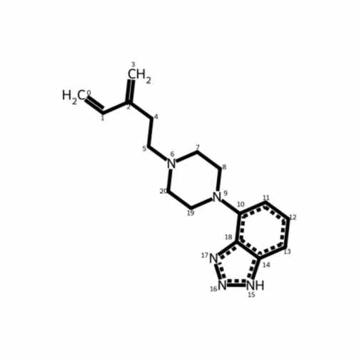 C=CC(=C)CCN1CCN(c2cccc3[nH]nnc23)CC1